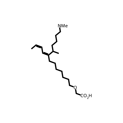 C/C=C\C=C(\CCCCCCCOCC(=O)O)C(C)CCCCNC